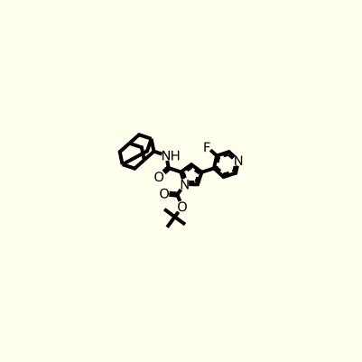 CC(C)(C)OC(=O)n1cc(-c2ccncc2F)cc1C(=O)NC1C2CC3CC(C2)CC1C3